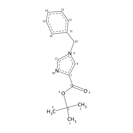 CC(C)(C)OC(=O)c1cn(Cc2ccccc2)cn1